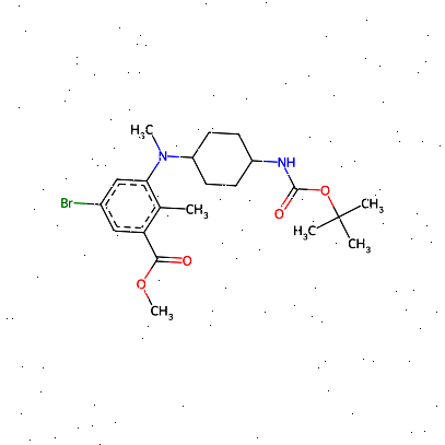 COC(=O)c1cc(Br)cc(N(C)C2CCC(NC(=O)OC(C)(C)C)CC2)c1C